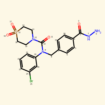 NNC(=O)c1ccc(CN(C(=O)N2CCS(=O)(=O)CC2)c2cccc(Br)c2)cc1